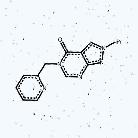 CC(C)n1cc2c(=O)n(Cc3ccccn3)cnc2n1